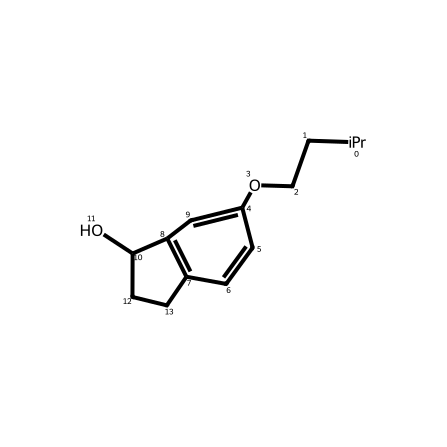 CC(C)CCOc1ccc2c(c1)C(O)CC2